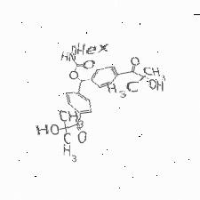 CCCCCCNC(=O)OC(c1ccc(C(=O)C(C)(C)O)cc1)c1ccc(C(=O)C(C)(C)O)cc1